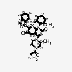 C=CC(=O)N1CCN(c2nc(=O)n(-c3c(C)cccc3CC)c3nc(-n4nnc5ccccc54)c(Cl)cc23)[C@@H](C)C1